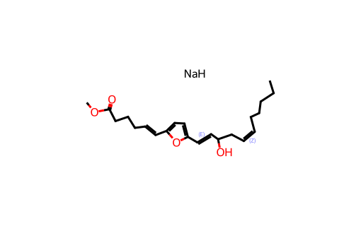 CCCCC/C=C\CC(O)/C=C/c1ccc(C=CCCCC(=O)OC)o1.[NaH]